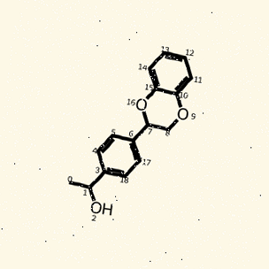 CC(O)c1ccc(C2COc3ccccc3O2)cc1